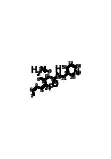 C=C(/C(F)=C\C=C/C)[C@H](CN)C(=O)NCc1cccnc1